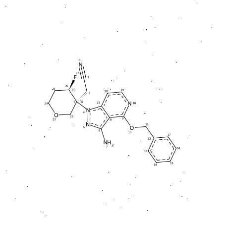 N#CC[C@]1(n2nc(N)c3c(OCc4ccccc4)nccc32)COCC[C@H]1F